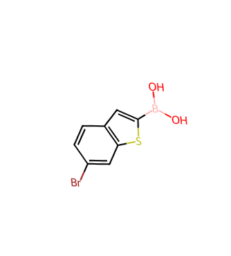 OB(O)c1cc2ccc(Br)cc2s1